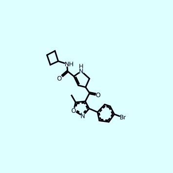 Cc1onc(-c2ccc(Br)cc2)c1C(=O)C1C=C(C(=O)NC2CCC2)NC1